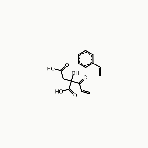 C=CC(=O)C(O)(CC(=O)O)C(=O)O.C=Cc1ccccc1